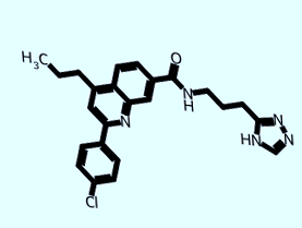 CCCc1cc(-c2ccc(Cl)cc2)nc2cc(C(=O)NCCCc3nnc[nH]3)ccc12